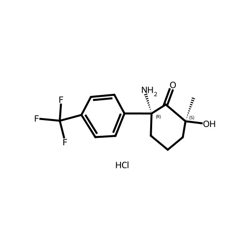 C[C@]1(O)CCC[C@@](N)(c2ccc(C(F)(F)F)cc2)C1=O.Cl